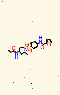 C=CC(=O)NC1CCN(S(=O)(=O)c2ccc(NC(=O)c3ccco3)cc2)C(C)C1